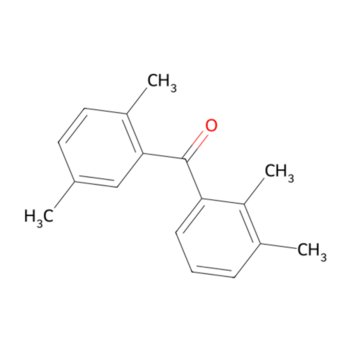 Cc1ccc(C)c(C(=O)c2cccc(C)c2C)c1